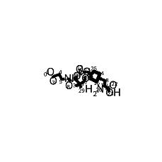 COC(=O)CCNC(=O)[C@@H]1OP(=O)(Oc2ccc(C[C@H](N)C(=O)O)cc2)OCC1(C)C